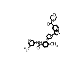 Cc1ccc(C(=O)Nc2cncc(C(F)(F)F)c2)cc1[C@@H]1CCN(c2cnn3ccc(C(=O)N4CCOCC4)cc23)C1